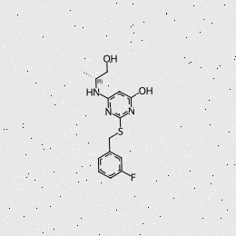 C[C@H](CO)Nc1cc(O)nc(SCc2cccc(F)c2)n1